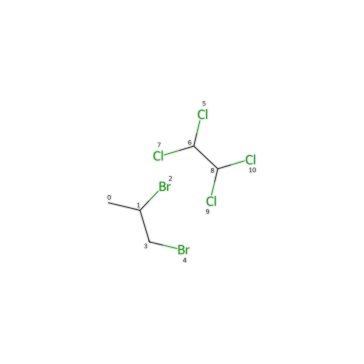 CC(Br)CBr.ClC(Cl)C(Cl)Cl